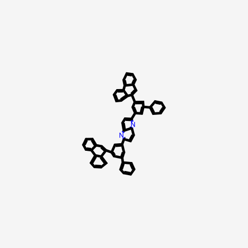 c1ccc(-c2cc(-c3ccc4nc(-c5cc(-c6ccccc6)cc(-c6cc7ccccc7c7ccccc67)c5)ccc4n3)cc(-c3cc4ccccc4c4ccccc34)c2)cc1